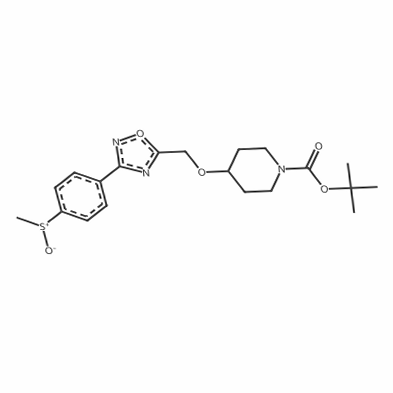 C[S+]([O-])c1ccc(-c2noc(COC3CCN(C(=O)OC(C)(C)C)CC3)n2)cc1